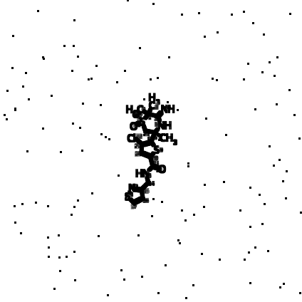 CC1(C)C(=N)N[C@](C)(c2sc(C(=O)NCc3ccsn3)cc2Cl)CS1(=O)=O